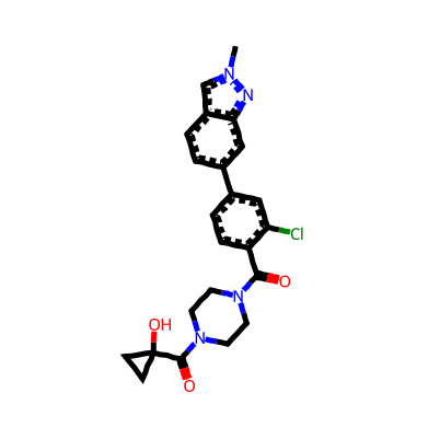 Cn1cc2ccc(-c3ccc(C(=O)N4CCN(C(=O)C5(O)CC5)CC4)c(Cl)c3)cc2n1